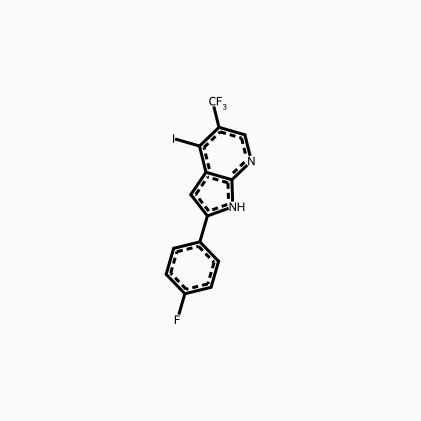 Fc1ccc(-c2cc3c(I)c(C(F)(F)F)cnc3[nH]2)cc1